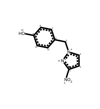 O=[N+]([O-])c1ccn(Cc2ccc(O)cc2)n1